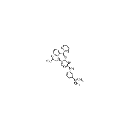 CN(C)c1cccc(NC(=O)NC2N=C(c3ncccn3)c3ccccc3N(CC(=O)C(C)(C)C)C2=O)c1